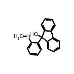 COc1ccccc1C1(O)c2ccccc2-c2ccccc21